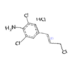 Cl.Nc1c(Cl)cc(/C=C/CCl)cc1Cl